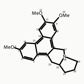 COc1ccc2c3c(c4cc(OC)c(OC)cc4c2c1)CN1CCCC1C3